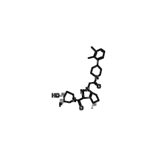 Cc1cccc(C2CCN(C(=O)Cn3nc(C(=O)N4CC[C@@H](O)[C@@H](F)C4)c4c3CC[C@@H]4C)CC2)c1C